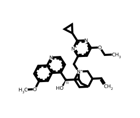 C=CC1C[N+]2(Cc3cc(OCC)nc(C4CC4)n3)CCC1CC2[C@@H](O)c1ccnc2ccc(OC)cc12